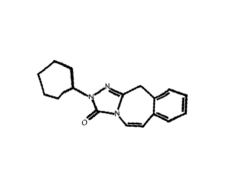 O=c1n(C2CCCCC2)nc2n1C=Cc1ccccc1C2